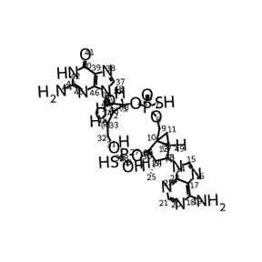 CO[C@H]1[C@H]2OP(=O)(S)OCC34C[C@@H]3[C@@H](n3cnc5c(N)ncnc53)[C@H](C)[C@@H]4O[PH](O)(S)OC[C@H]1O[C@H]2n1cnc2c(=O)[nH]c(N)nc21